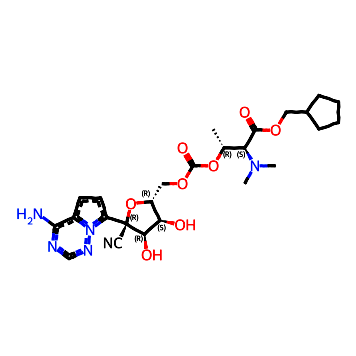 C[C@@H](OC(=O)OC[C@H]1O[C@@](C#N)(c2ccc3c(N)ncnn23)[C@H](O)[C@@H]1O)[C@@H](C(=O)OCC1CCCC1)N(C)C